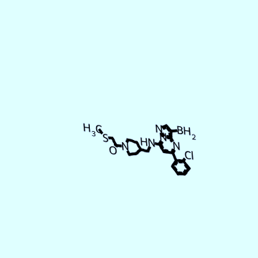 Bc1cnn2c(NCC3CCN(C(=O)CSC)CC3)cc(-c3ccccc3Cl)nc12